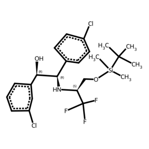 CC(C)(C)[Si](C)(C)OC[C@H](N[C@H](c1ccc(Cl)cc1)[C@H](O)c1cccc(Cl)c1)C(F)(F)F